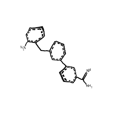 N=C(N)c1cccc(-c2cccc(Cc3ccccc3N)c2)c1